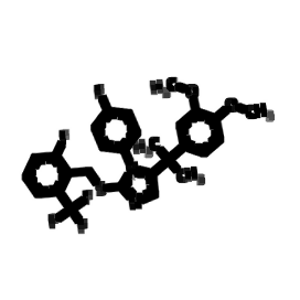 COc1ccc(C(C)(C)c2cnc(SCc3c(F)cccc3C(F)(F)F)n2-c2ccc(F)cc2)cc1OC